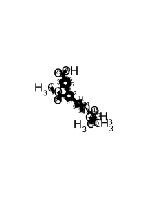 CCOC(=O)C1CC(C2CC3(C2)CN(C(=O)OC(C)(C)C)C3)CC1c1ccc(C(=O)O)cc1